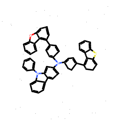 C1=C(C2=c3c(sc4ccccc34)=CCC2)CCC(N(c2ccc(-c3cccc4oc5ccccc5c34)cc2)c2ccc3c4ccccc4n(-c4ccccc4)c3c2)=C1